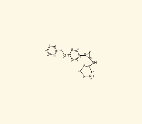 c1ccc(COc2ccc(C3CC3NC3CCCNC3)cc2)cc1